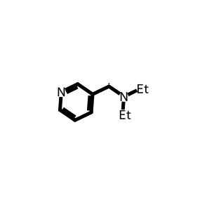 CCN([CH]c1cccnc1)CC